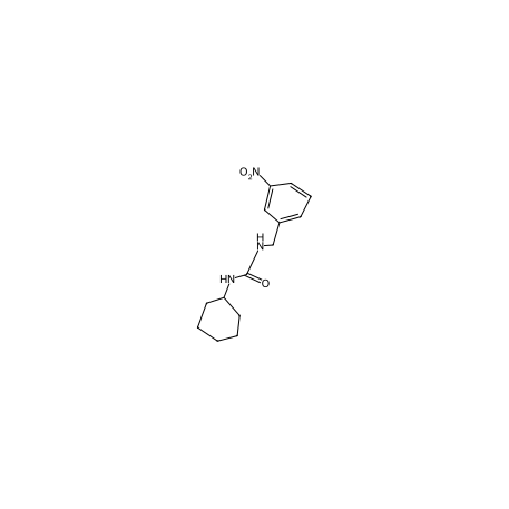 O=C(NCc1cccc([N+](=O)[O-])c1)NC1CCCCC1